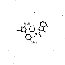 CN[C@H]1CC[C@H](N(Cc2cc(-c3cc(C)nc(C)c3)ccc2OC)C(=O)c2sc3cccc(C)c3c2Cl)CC1